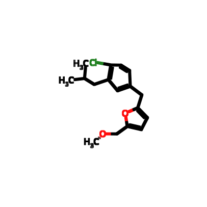 COCc1ccc(Cc2ccc(Cl)c(CC(C)C)c2)o1